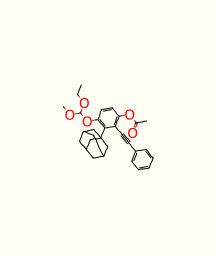 CCOC(OC)Oc1ccc(OC(C)=O)c(C#Cc2ccccc2)c1C12CC3CC(CC(C3)C1)C2